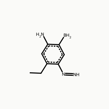 Bc1cc(N=N)c(CC)cc1N